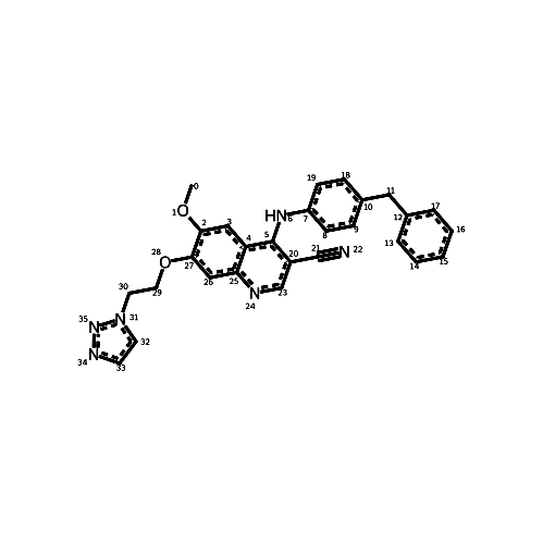 COc1cc2c(Nc3ccc(Cc4ccccc4)cc3)c(C#N)cnc2cc1OCCn1ccnn1